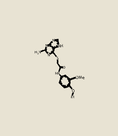 CCOc1ccc(NC(=O)CSc2nc(N)nc3nc[nH]c23)cc1OC